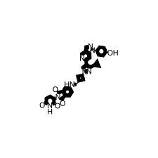 O=C1CCC(N2C(=O)c3ccc(NC[C@H]4C[C@H](n5cc(-c6cc7c(cn6)cnn7[C@H]6CC[C@@H](O)CC6)c(C6CC6)n5)C4)cc3C2=O)C(=O)N1